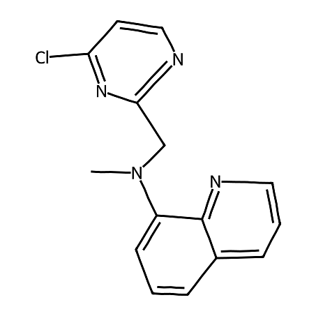 CN(Cc1nccc(Cl)n1)c1cccc2cccnc12